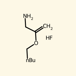 C=C(CN)OCCCCC.F